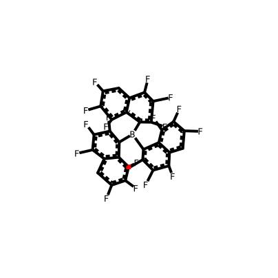 Fc1cc2c(F)c(F)c(F)c(B(c3c(F)c(F)c(F)c4cc(F)c(F)c(F)c34)c3c(F)c(F)c(F)c4cc(F)c(F)c(F)c34)c2c(F)c1F